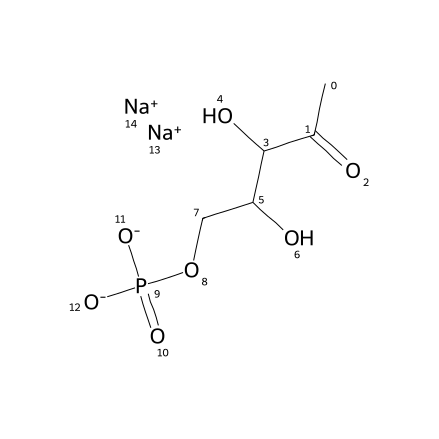 CC(=O)C(O)C(O)COP(=O)([O-])[O-].[Na+].[Na+]